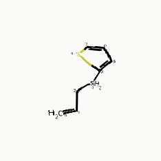 C=CC[SiH2]c1cccs1